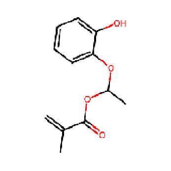 C=C(C)C(=O)OC(C)Oc1ccccc1O